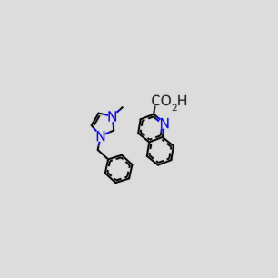 CN1C=CN(Cc2ccccc2)C1.O=C(O)c1ccc2ccccc2n1